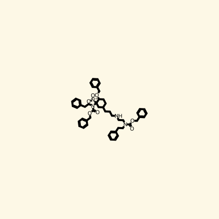 O=C(OCc1ccccc1)N(CCNCCCC1CCC(OCc2ccccc2)C(N(CCc2ccccc2)C(=O)OCc2ccccc2)([N+](=O)[O-])C1)CCc1ccccc1